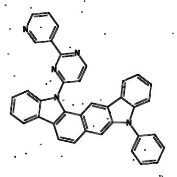 c1ccc(-n2c3ccccc3c3cc4c(ccc5c6ccccc6n(-c6ccnc(-c7cccnc7)n6)c45)cc32)cc1